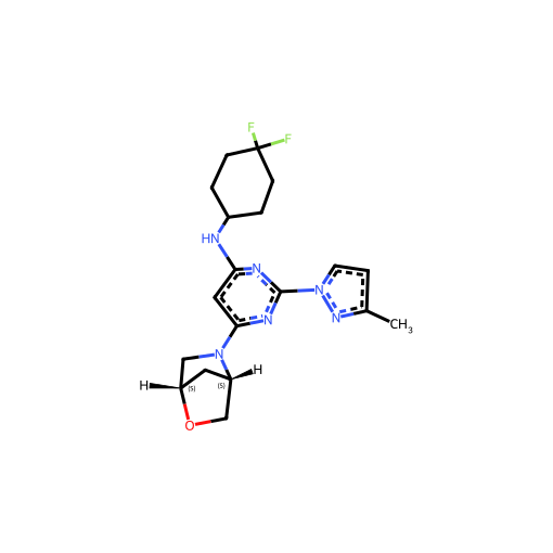 Cc1ccn(-c2nc(NC3CCC(F)(F)CC3)cc(N3C[C@@H]4C[C@H]3CO4)n2)n1